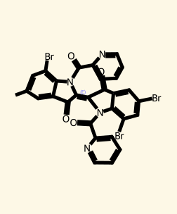 Cc1cc(Br)c2c(c1)C(=O)/C(=C1/C(=O)c3cc(Br)cc(Br)c3N1C(=O)c1ccccn1)N2C(=O)c1ccccn1